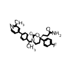 Cc1cc(-c2ccc([C@H](C)N3CC[C@@](CCC(N)=O)(c4ccc(F)cc4)OC3=O)cc2)ccn1